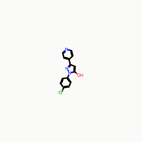 Oc1cc(-c2ccncc2)nn1-c1ccc(Cl)cc1